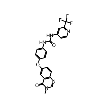 Cn1cnc2ccc(Oc3ccc(NC(=O)Nc4ccnc(C(F)(F)F)c4)cc3)cc2c1=O